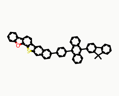 CC1(C)c2ccccc2-c2ccc(-c3c4ccccc4c(-c4ccc(-c5ccc6cc7sc8c(ccc9c%10ccccc%10oc98)c7cc6c5)cc4)c4ccccc34)cc21